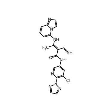 N=C/C(C(=O)Nc1cnc(-n2nccn2)c(Cl)c1)=C(\Nc1cccc2nccn12)C(F)(F)F